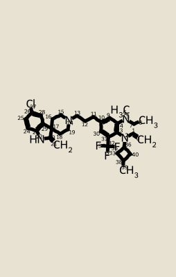 C=CN(c1c(N(C)CC)cc(CCCN2CCC3(CC2)C(=C)Nc2ccc(Cl)cc23)cc1C(F)(F)F)C1CC(C)C1